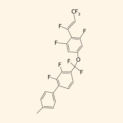 Cc1ccc(-c2ccc(C(F)(F)Oc3cc(F)c(/C(F)=C/C(F)(F)F)c(F)c3)c(F)c2F)cc1